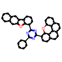 c1ccc(-c2nc(-c3ccc4ccc5ccc6cccc7c6c5c4c3O7)nc(-c3cccc4c3oc3cc5ccccc5cc34)n2)cc1